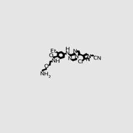 CCc1cc(Nc2nccn3c(-c4cn(CC#N)nc4Cl)cnc23)ccc1C(=O)NCCOCCN